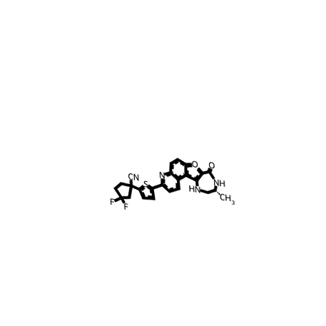 C[C@@H]1CNc2c(oc3ccc4nc(-c5ccc(C6(C#N)CCC(F)(F)C6)s5)ccc4c23)C(=O)N1